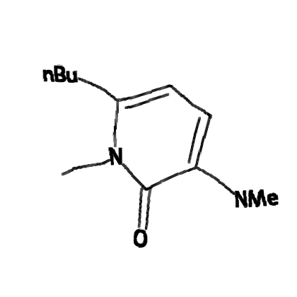 CCCCc1ccc(NC)c(=O)n1C